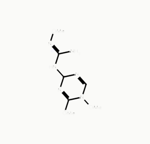 CO/N=C(\N)NC1N=CN(OC)C(OC)=N1